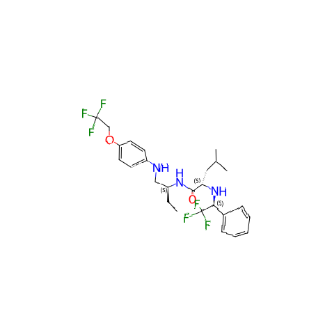 CC[C@@H](CNc1ccc(OCC(F)(F)F)cc1)NC(=O)[C@H](CC(C)C)N[C@@H](c1ccccc1)C(F)(F)F